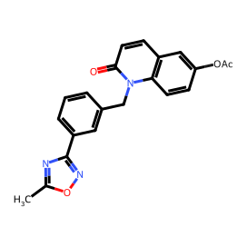 CC(=O)Oc1ccc2c(ccc(=O)n2Cc2cccc(-c3noc(C)n3)c2)c1